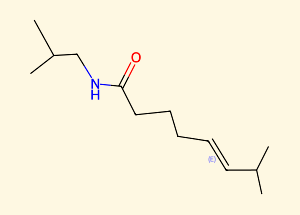 CC(C)/C=C/CCCC(=O)NCC(C)C